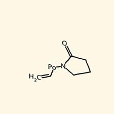 C=[CH][Po][N]1CCCC1=O